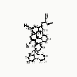 C=C/C(C#N)=C\c1c(C)n(-c2ccccc2-c2cccc(C#N)c2C2=CC(C)(N3c4ccccc4C4C=CC=CC43)CC=C2)c2ccc(C#N)cc12